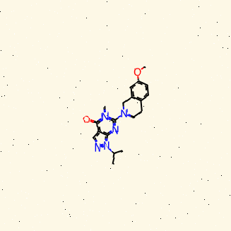 COc1ccc2c(c1)CN(c1nc3c(cnn3C(C)C)c(=O)n1C)CC2